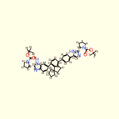 CC(C)(C)OC(=O)N1CCC[C@H]1c1ncc(-c2ccc(-c3ccc(-c4ccc5nc([C@@H]6CCCN6C(=O)OC(C)(C)C)[nH]c5c4)c4c3CCC43CCCC3)cc2)[nH]1